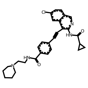 O=C(NCCN1CCCCC1)c1ccc(C#Cc2c(NC(=O)C3CC3)ncc3ccc(Cl)cc23)cc1